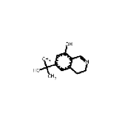 CC(C)(O)c1cc(O)c2c(c1)CCN=C2